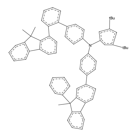 CC(C)(C)c1cc(N(c2ccc(-c3ccc4c(c3)C(C)(c3ccccc3)c3ccccc3-4)cc2)c2ccc(-c3ccccc3-c3cccc4c3C(C)(C)c3ccccc3-4)cc2)cc(C(C)(C)C)c1